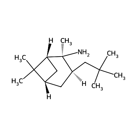 CC(C)(C)C[C@H]1C[C@H]2C[C@H](C2(C)C)[C@@]1(C)N